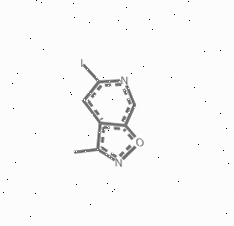 Cc1noc2cnc(I)cc12